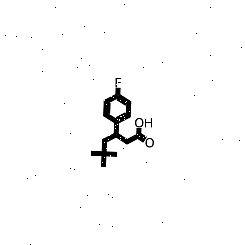 CC(C)(C)CC(CC(=O)O)c1ccc(F)cc1